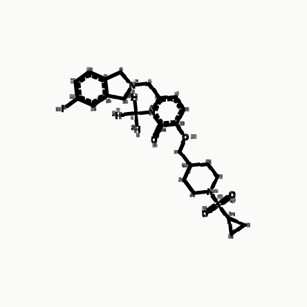 [2H]C([2H])([2H])n1c(CN2Cc3ccc(F)cc3C2)ccc(OCC2CCN(S(=O)(=O)C3CC3)CC2)c1=O